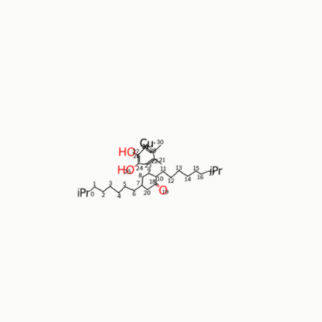 CC(C)CCCCCCC1CCC(CCCCCCC(C)C)C(=O)C1.Cc1cc(O)c(O)cc1C.[Cu]